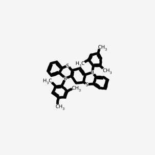 Cc1cc(C)c(B2C3=CC4=C(CC3Sc3ccccc32)B(c2c(C)cc(C)cc2C)c2ccccc2S4)c(C)c1